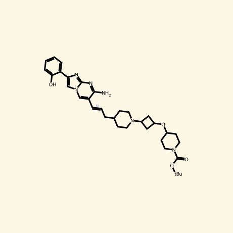 CC(C)(C)OC(=O)N1CCC(OC2CC(N3CCC(C/C=C/c4cn5cc(-c6ccccc6O)nc5nc4N)CC3)C2)CC1